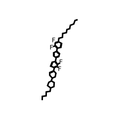 CCCCCCCCCCc1ccc(-c2ccc(-c3ccc(C4=CCC(C5CCC(CCCCC)CC5)CC4)c(F)c3F)cc2)c(F)c1F